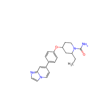 CCC1CC(Oc2ccc(-c3ccn4ccnc4c3)cc2)CCN1C(N)=O